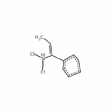 CC=C(c1ccccc1)[SiH](Cl)Cl